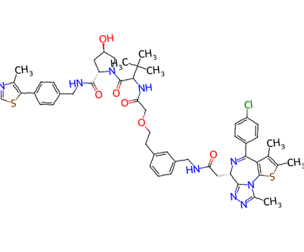 Cc1ncsc1-c1ccc(CNC(=O)[C@@H]2C[C@@H](O)CN2C(=O)C(NC(=O)COCCc2cccc(CNC(=O)C[C@@H]3N=C(c4ccc(Cl)cc4)c4c(sc(C)c4C)-n4c(C)nnc43)c2)C(C)(C)C)cc1